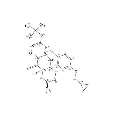 C[C@H]1C[C@H]2C(=O)N(C)/C(=N\C(=O)OC(C)(C)C)N[C@@]2(c2cc(OCC3CC3)ncc2F)CO1